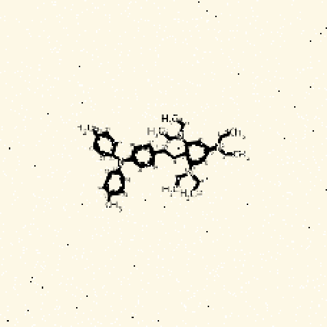 CCN(CC)c1cc(N(CC)CC)c(CCc2ccc(N(c3ccc(C)cc3)c3ccc(C)cc3)cc2)c(N(CC)CC)c1